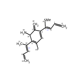 C=C/C=C(\SC)C1=CC(F)=C(/C(C)=C/C=C)C(N)C1=C